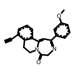 C#Cc1cccc2c1CCN1C(=O)CN=C(c3cccc(OC)c3)C=C21